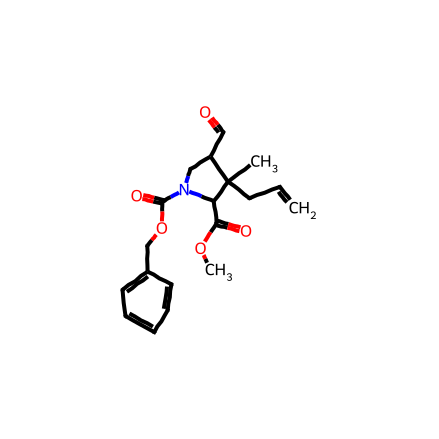 C=CCC1(C)C(C=O)CN(C(=O)OCc2ccccc2)C1C(=O)OC